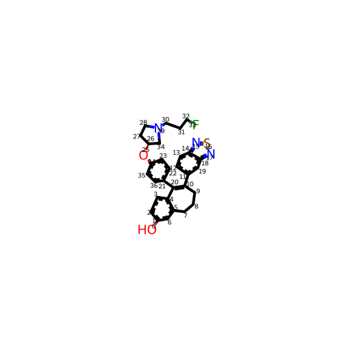 Oc1ccc2c(c1)CCCC(c1ccc3nsnc3c1)=C2c1ccc(O[C@H]2CCN(CCCF)C2)cc1